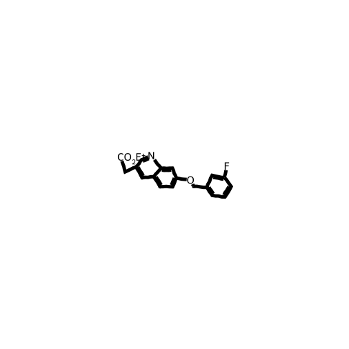 CCOC(=O)Cc1cnc2cc(OCc3cccc(F)c3)ccc2c1